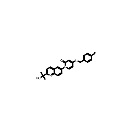 CC(C)(O)c1ccc2cc(-n3ccc(OCc4ccc(F)cc4)cc3=O)ccc2n1